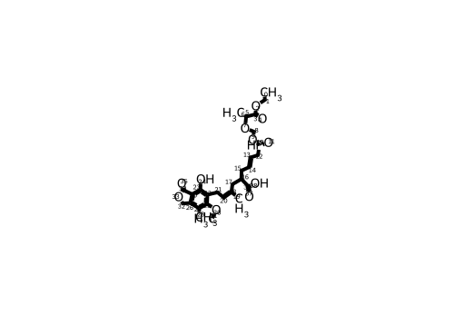 CCOC(=O)C(C)OCO[PH](=O)CC=CCC(CC(C)=CCc1c(O)c2c(c(C)c1OC)COC2=O)C(=O)O